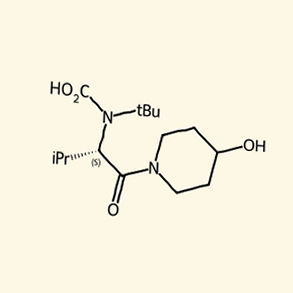 CC(C)[C@@H](C(=O)N1CCC(O)CC1)N(C(=O)O)C(C)(C)C